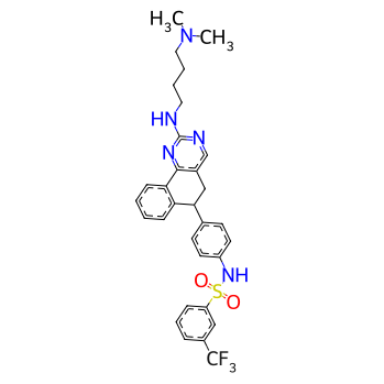 CN(C)CCCCNc1ncc2c(n1)-c1ccccc1C(c1ccc(NS(=O)(=O)c3cccc(C(F)(F)F)c3)cc1)C2